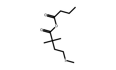 CCCC(=O)OC(=O)C(C)(C)CCSC